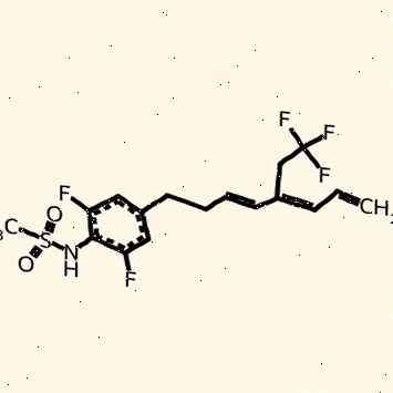 C=C/C=C(/C=C/CCc1cc(F)c(NS(C)(=O)=O)c(F)c1)CC(F)(F)F